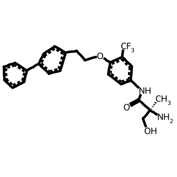 C[C@](N)(CO)C(=O)Nc1ccc(OCCc2ccc(-c3ccccc3)cc2)c(C(F)(F)F)c1